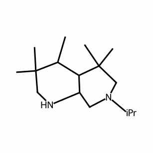 CC(C)N1CC2NCC(C)(C)C(C)C2C(C)(C)C1